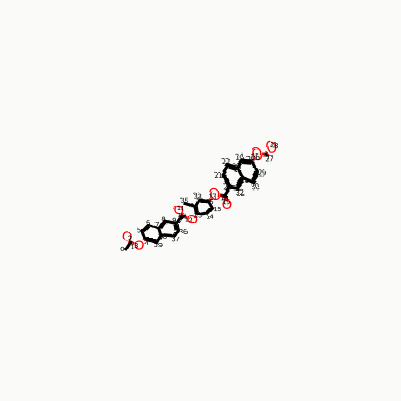 CC(=O)Oc1ccc2cc(C(=O)Oc3ccc(OC(=O)c4ccc5cc(OC=O)ccc5c4)cc3C)ccc2c1